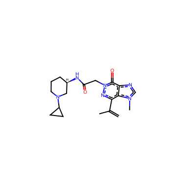 C=C(C)c1nn(CC(=O)N[C@@H]2CCCN(C3CC3)C2)c(=O)c2ncn(C)c12